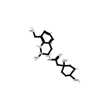 NC1CCC(O)(CC(=O)N[C@H]2Cc3cccc(CO)c3OB2O)CC1